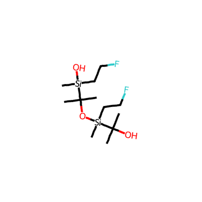 CC(C)(O[Si](C)(CCF)C(C)(C)O)[Si](C)(O)CCF